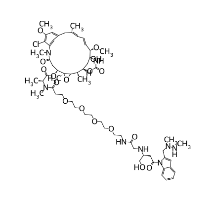 CNN(C)Cc1cc2ccccc2n1C(=O)C[C@@H](CO)NCC(=O)NCCOCCOCCOCCOCCC(=O)N(C)[C@@H](C)C(=O)O[C@H]1CC(=O)N(C)c2cc(cc(OC)c2Cl)C/C(C)=C/C=C/[C@@H](OC)[C@@]2(O)C[C@H](OC(=O)N2)[C@@H](C)C2O[C@]21C